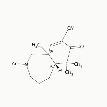 CC(=O)N1CCC[C@H]2C(C)(C)C(=O)C(C#N)=C[C@]2(C)C1